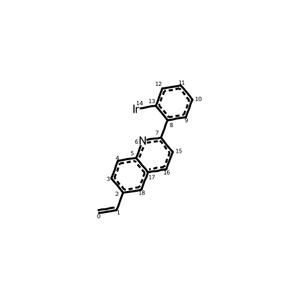 C=Cc1ccc2nc(-c3cccc[c]3[Ir])ccc2c1